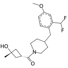 COc1ccc(CC2CCN(C(=O)[C@H]3C[C@@](C)(O)C3)CC2)c(C(F)F)c1